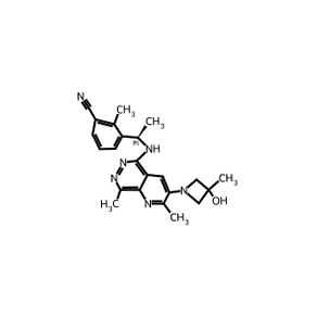 Cc1nc2c(C)nnc(N[C@H](C)c3cccc(C#N)c3C)c2cc1N1CC(C)(O)C1